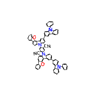 N#Cc1cc(-n2c3ccc(-c4ccc5c(c4)c4ccccc4n5-c4ccccc4)cc3c3c4oc5ccccc5c4ccc32)c(C#N)cc1-n1c2ccc(-c3ccc4c(c3)c3ccccc3n4-c3ccccc3)cc2c2c3oc4ccccc4c3ccc21